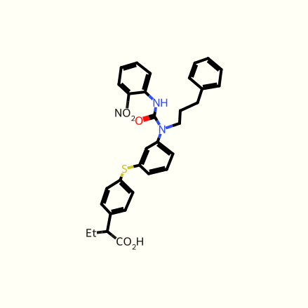 CCC(C(=O)O)c1ccc(Sc2cccc(N(CCCc3ccccc3)C(=O)Nc3ccccc3[N+](=O)[O-])c2)cc1